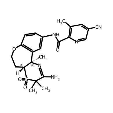 Cc1cc(C#N)cnc1C(=O)Nc1ccc2c(c1)[C@@]1(C)N=C(N)C(C)(C)S(=O)(=O)[C@@H]1CCO2